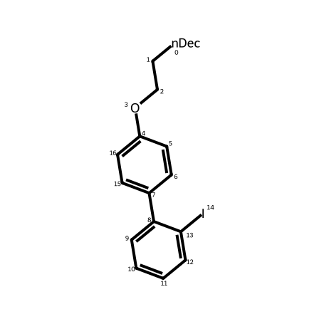 CCCCCCCCCCCCOc1ccc(-c2ccccc2I)cc1